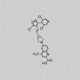 Cc1cc(C(=O)O)nc2ccc(N3CC4C(/C=C/c5c(-c6c(Cl)cncc6Cl)noc5C5CC5)C4C3)cc12